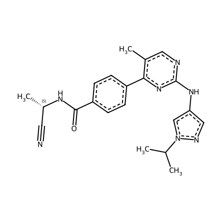 Cc1cnc(Nc2cnn(C(C)C)c2)nc1-c1ccc(C(=O)N[C@@H](C)C#N)cc1